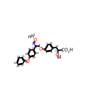 CCCO/N=C(\COc1ccc(CC(OCC)C(=O)O)cc1)c1ccc(Oc2ccccc2)cc1